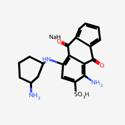 Nc1c(S(=O)(=O)O)cc(NC2CCCC(N)C2)c2c1C(=O)c1ccccc1C2=O.[NaH]